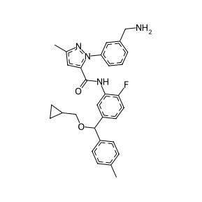 Cc1ccc(C(OCC2CC2)c2ccc(F)c(NC(=O)c3cc(C)nn3-c3cccc(CN)c3)c2)cc1